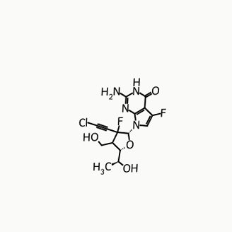 C[C@H](O)[C@H]1O[C@@H](n2cc(F)c3c(=O)[nH]c(N)nc32)C(F)(C#CCl)C1CO